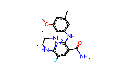 COc1cc(C)cc(Nc2nc(N[C@H](C)[C@H](C)N)c(F)cc2C(N)=O)c1